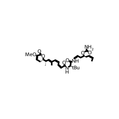 C/C=C\C[C@@H](C/C=C\NC(=O)[C@@H](NC(=O)\C=C/C=C\C(C)=C\[C@H](C)[C@@H]1CC=C(OC)C(=O)O1)C(C)(C)C)OC(N)=O